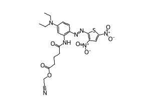 CCN(CC)c1ccc(N=Nc2sc([N+](=O)[O-])cc2[N+](=O)[O-])c(NC(=O)CCCC(=O)OCC#N)c1